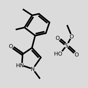 COS(=O)(=O)O.Cc1cccc(-c2cn(C)[nH]c2=O)c1C